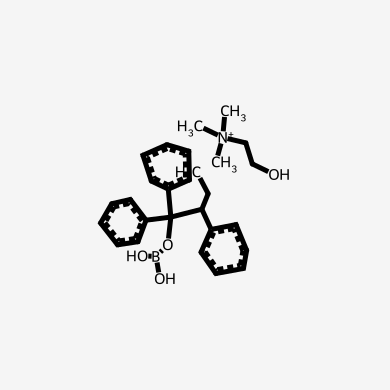 CCC(c1ccccc1)C(OB(O)O)(c1ccccc1)c1ccccc1.C[N+](C)(C)CCO